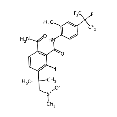 Cc1cc(C(F)(C(F)(F)F)C(F)(F)F)ccc1NC(=O)c1c(C(N)=O)ccc(C(C)(C)C[S+](C)[O-])c1I